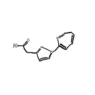 O=C(O)Cc1ccn(-c2ccccn2)n1